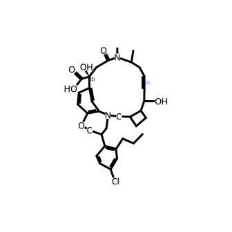 CCCc1cc(Cl)ccc1C1COc2ccc3cc2N(C1)CC1CCC1C(O)/C=C/CC(C)N(C)C(=O)C[C@@]3(O)C(=O)O